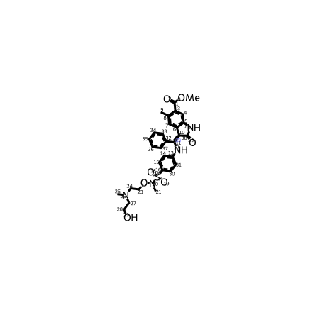 COC(=O)c1cc2c(cc1C)/C(=C(/Nc1ccc(S(=O)(=O)N(C)OCCN(C)CCO)cc1)c1ccccc1)C(=O)N2